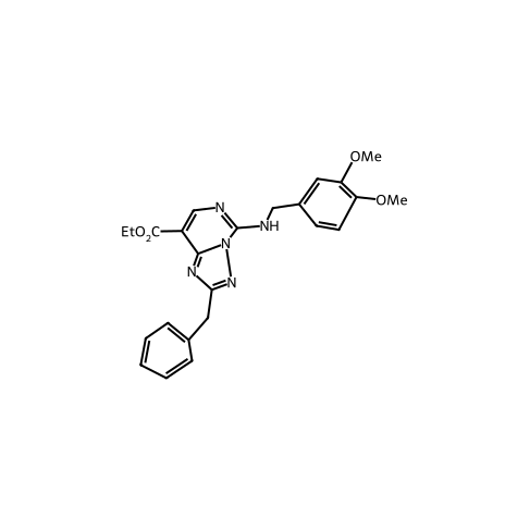 CCOC(=O)c1cnc(NCc2ccc(OC)c(OC)c2)n2nc(Cc3ccccc3)nc12